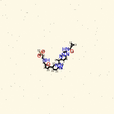 CC(c1ccc2nc(NC(=O)C3CC3)cn2n1)c1nnc2ccc(-c3ccc(CNCCS(C)(=O)=O)o3)cn12